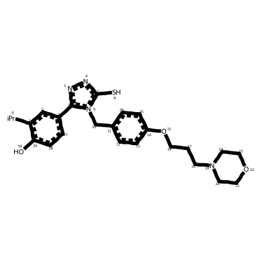 CC(C)c1cc(-c2nnc(S)n2Cc2ccc(OCCCN3CCOCC3)cc2)ccc1O